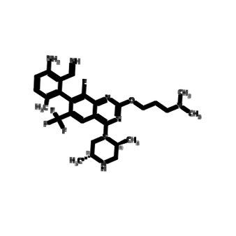 Cc1ccc(N)c(C=N)c1-c1c(C(F)(F)F)cc2c(N3C[C@@H](C)NC[C@@H]3C)nc(OCCCN(C)C)nc2c1F